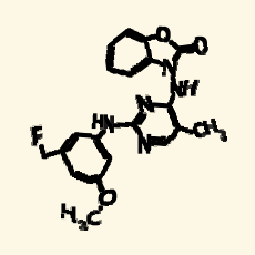 COc1cc(CF)cc(Nc2ncc(C)c(Nn3c(=O)oc4ccccc43)n2)c1